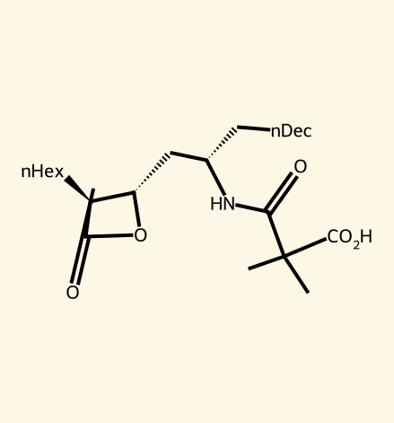 CCCCCCCCCCC[C@@H](C[C@@H]1OC(=O)[C@H]1CCCCCC)NC(=O)C(C)(C)C(=O)O